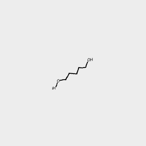 CC(C)OCCCCCO